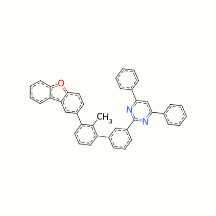 Cc1c(-c2cccc(-c3nc(-c4ccccc4)cc(-c4ccccc4)n3)c2)cccc1-c1ccc2oc3ccccc3c2c1